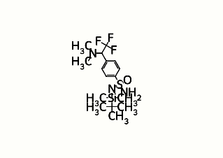 CN(C)C(c1ccc(S(N)(=O)=N[Si](C)(C)C(C)(C)C)cc1)C(F)(F)F